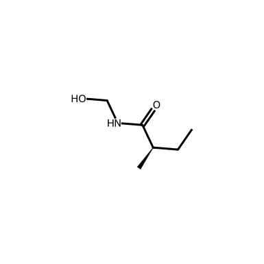 CC[C@@H](C)C(=O)NCO